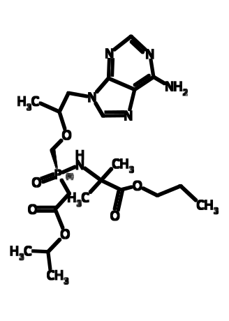 CCCOC(=O)C(C)(C)N[P@](=O)(COC(C)Cn1cnc2c(N)ncnc21)CC(=O)OC(C)C